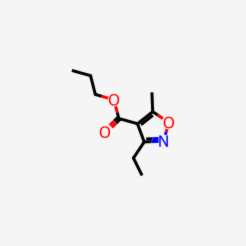 CCCOC(=O)c1c(CC)noc1C